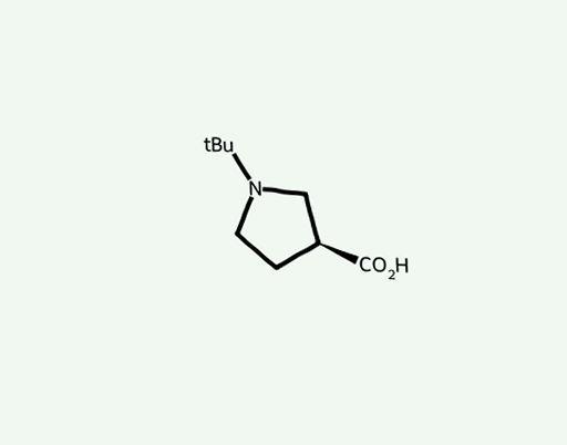 CC(C)(C)N1CC[C@H](C(=O)O)C1